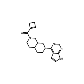 O=C(C1=CCC1)N1CCC2CCN(c3ncnc4[nH]ccc34)CC2C1